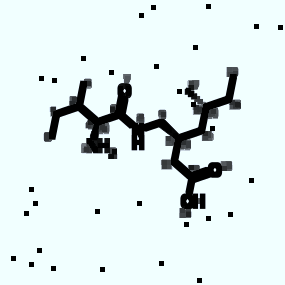 CCC(C)[C@H](N)C(=O)NC[C@H](CC(=O)O)C[C@H](C)CC